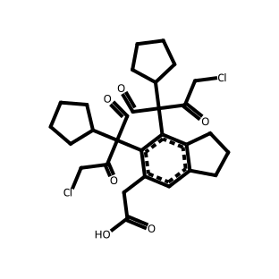 O=CC(C(=O)CCl)(c1c(CC(=O)O)cc2c(c1C(C=O)(C(=O)CCl)C1CCCC1)CCC2)C1CCCC1